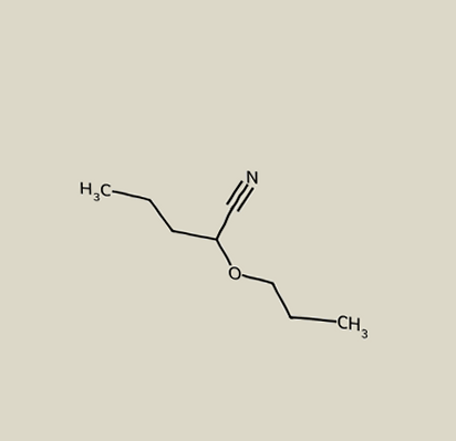 CCCOC(C#N)CCC